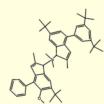 COc1c(C(C)(C)C)cc2c(c1-c1ccccc1)C=C(C)C2[Si](C)(C)C1C(C)=Cc2c(-c3cc(C(C)(C)C)cc(C(C)(C)C)c3)cc(C(C)(C)C)cc21